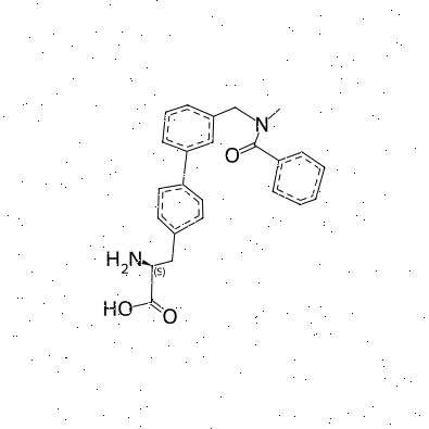 CN(Cc1cccc(-c2ccc(C[C@H](N)C(=O)O)cc2)c1)C(=O)c1ccccc1